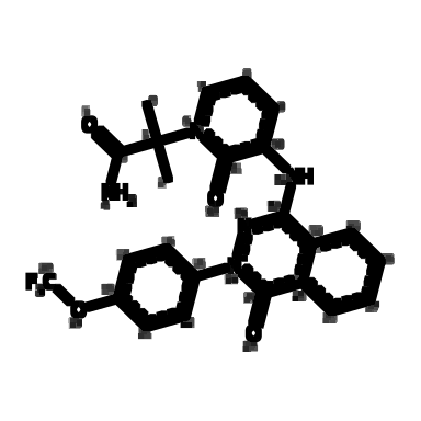 CC(C)(C(N)=O)n1cccc(Nc2nn(-c3ccc(OC(F)(F)F)cc3)c(=O)c3ccccc23)c1=O